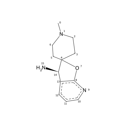 CN1CCC2(CC1)Oc1ncccc1[C@H]2N